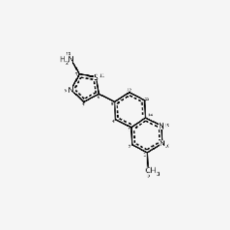 Cc1cc2cc(-c3cnc(N)s3)ccc2nn1